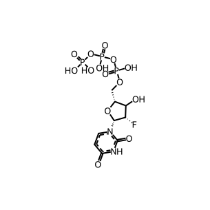 O=c1ccn([C@@H]2O[C@H](COP(=O)(O)OP(=O)(O)OP(=O)(O)O)C(O)[C@@H]2F)c(=O)[nH]1